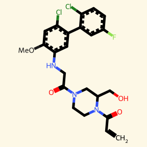 C=CC(=O)N1CCN(C(=O)CNc2cc(-c3cc(F)ccc3Cl)c(Cl)cc2OC)CC1CO